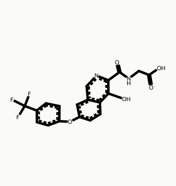 O=C(O)CNC(=O)c1ncc2cc(Oc3ccc(C(F)(F)F)cc3)ccc2c1O